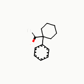 CCC(=O)C1(c2ccccc2)CCCCC1